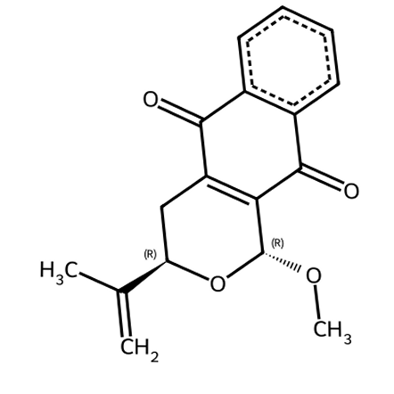 C=C(C)[C@H]1CC2=C(C(=O)c3ccccc3C2=O)[C@H](OC)O1